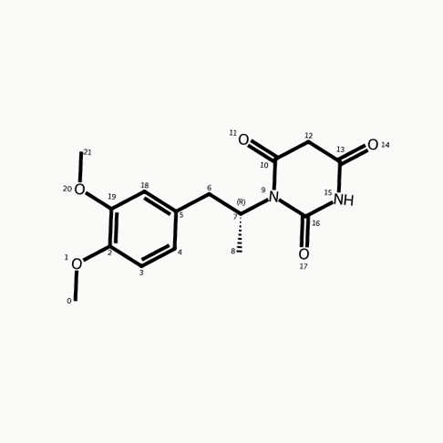 COc1ccc(C[C@@H](C)N2C(=O)CC(=O)NC2=O)cc1OC